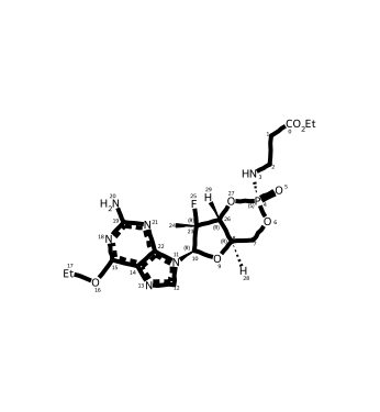 CCOC(=O)CCN[P@]1(=O)OC[C@H]2O[C@@H](n3cnc4c(OCC)nc(N)nc43)[C@](C)(F)[C@@H]2O1